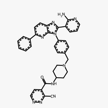 N#Cc1nnccc1C(=O)NC1CCN(Cc2ccc(-n3c(-c4cccnc4N)nc4ccc(-c5ccccc5)nc43)cc2)CC1